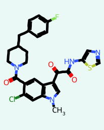 Cn1cc(C(=O)C(=O)Nc2cncs2)c2cc(C(=O)N3CCC(Cc4ccc(F)cc4)CC3)c(Cl)cc21